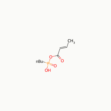 CC=CC(=O)OP(=O)(O)CCCC